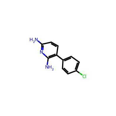 Nc1ccc(-c2ccc(Cl)cc2)c(N)n1